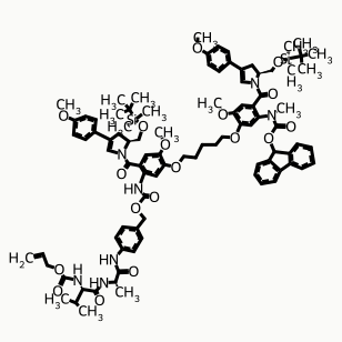 C=CCOC(=O)N[C@H](C(=O)N[C@@H](C)C(=O)Nc1ccc(COC(=O)Nc2cc(OCCCCCOc3cc(N(C)C(=O)OC4c5ccccc5-c5ccccc54)c(C(=O)N4C=C(c5ccc(OC)cc5)C[C@H]4CO[Si](C)(C)C(C)(C)C)cc3OC)c(OC)cc2C(=O)N2C=C(c3ccc(OC)cc3)C[C@H]2CO[Si](C)(C)C(C)(C)C)cc1)C(C)C